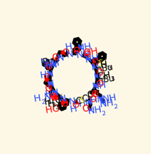 CCCC[C@H]1C(=O)N(C)[C@@H](CCCC)C(=O)N[C@@H](CCCNC(=N)N)C(=O)C[C@H](C(=O)NCC(N)=O)CSCC(=O)N[C@@H](Cc2ccc(O)cc2)C(=O)N(C)[C@@H](C)C(=O)N[C@@H](CC(N)=O)C(=O)N2CCC[C@H]2C(=O)N[C@@H](Cc2cnc[nH]2)C(=O)N[C@@H](CC(C)C)C(=O)N2CCC[C@H]2C(=O)N[C@@H](Cc2c[nH]c3ccccc23)C(=O)N[C@@H](CO)C(=O)N[C@@H](Cc2csc3ccccc23)C(=O)N1C